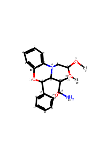 CCOC(CN1c2ccccc2OC(c2ccccc2)C1C(C)C(N)=O)OCC